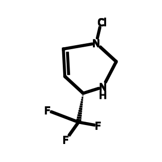 FC(F)(F)[C@@H]1C=CN(Cl)CN1